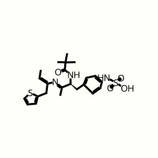 C/C=C(Cc1cccs1)\N=C(/C)[C@H](Cc1ccc(NS(=O)(=O)O)cc1)NC(=O)C(C)(C)C